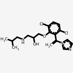 C=C(c1c(Cl)ccc(Cl)c1OCC(O)CNCC(C)C)n1ccnc1